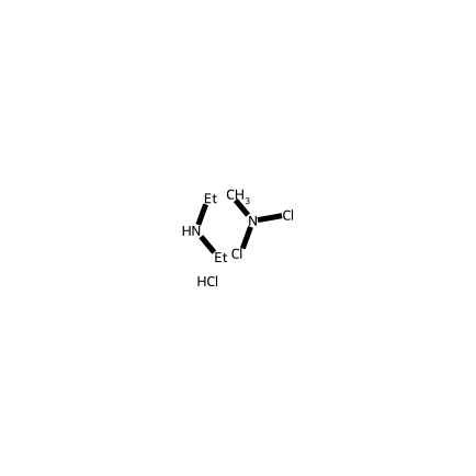 CCNCC.CN(Cl)Cl.Cl